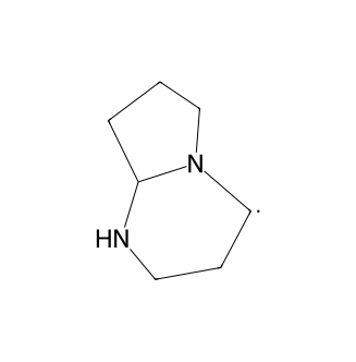 [CH]1CCNC2CCCN12